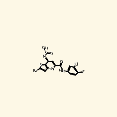 CN/C(=C\C(=N/[S@](=O)O)c1ccc(Br)s1)C(=O)Nc1ccc(F)c(Cl)c1